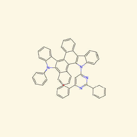 C1=CCC(c2nc(-c3ccccc3)cc(-n3c4ccccc4c4c5ccccc5c5c6c7ccccc7n(-c7ccccc7)c6c6ccccc6c5c43)n2)C=C1